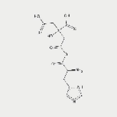 N[C@@H](Cc1cnc[nH]1)C(=O)OC(=O)CC(O)(CC(=O)O)C(=O)O